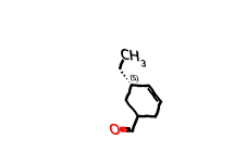 CC[C@@H]1C=CCC(C=O)C1